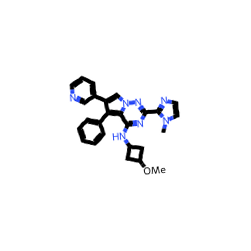 COC1CC(Nc2nc(-c3nccn3C)nn3cc(-c4cccnc4)c(-c4ccccc4)c23)C1